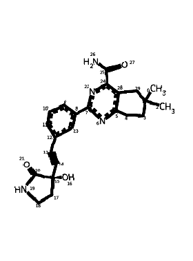 CC1(C)CCc2nc(-c3cccc(C#C[C@]4(O)CCNC4=O)c3)nc(C(N)=O)c2C1